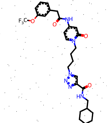 O=C(Cc1cccc(OC(F)(F)F)c1)Nc1ccn(CCCCn2cc(C(=O)NCC3CCCCC3)nn2)c(=O)c1